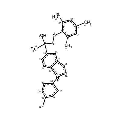 Cc1cc(C)c(OCC(O)(c2ccc3c(cnn3-c3ccc(F)cc3)c2)C(F)(F)F)c(C)c1